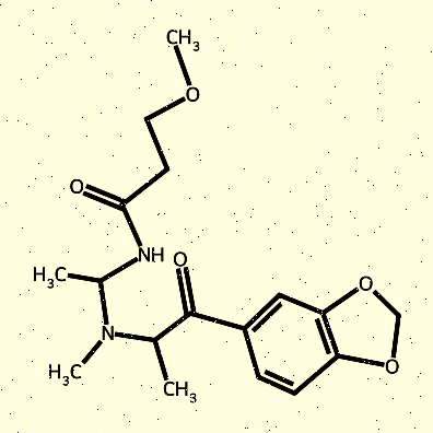 COCCC(=O)NC(C)N(C)C(C)C(=O)c1ccc2c(c1)OCO2